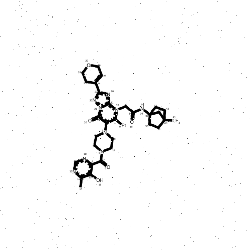 CCc1c(N2CCN(C(=O)c3ncnc(C)c3O)CC2)c(=O)n2nc(C3=CCOCC3)nc2n1CC(=O)NC12CCC(C(F)(F)F)(CC1)C2